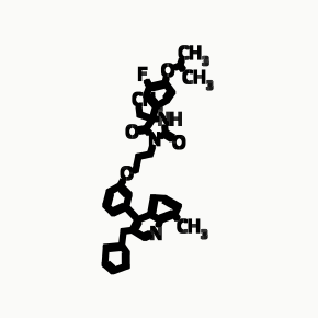 CCC1(c2ccc(OC(C)C)c(F)c2)NC(=O)N(CCCOc2cccc(-c3c(Cc4ccccc4)cnc4c(C)cccc34)c2)C1=O